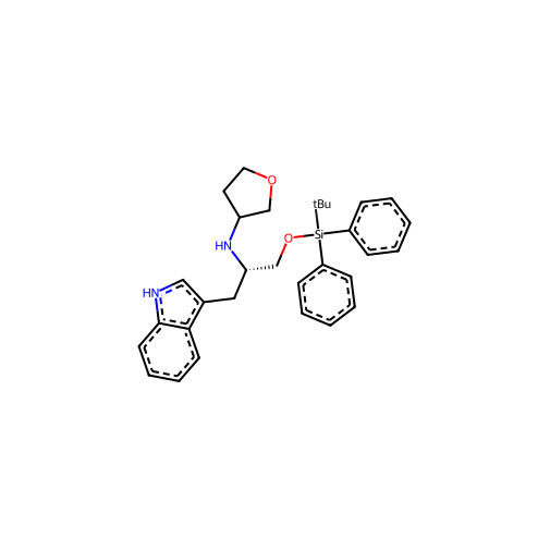 CC(C)(C)[Si](OC[C@H](Cc1c[nH]c2ccccc12)NC1CCOC1)(c1ccccc1)c1ccccc1